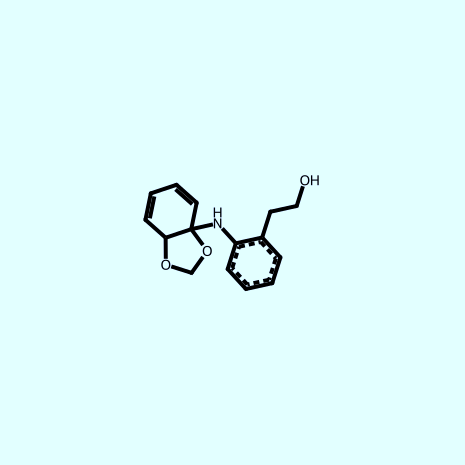 OCCc1ccccc1NC12C=CC=CC1OCO2